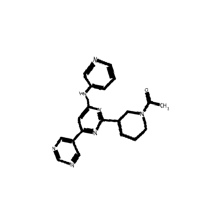 CC(=O)N1CCCC(c2nc(Nc3cccnc3)cc(-c3cncnc3)n2)C1